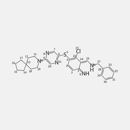 N=C1C=CC(Sc2cnc(N3CCC4(CCCC4)CC3)cn2)=C(Cl)/C1=C/NCc1ccccc1